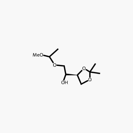 COC(C)OCC(O)[C@@H]1COC(C)(C)O1